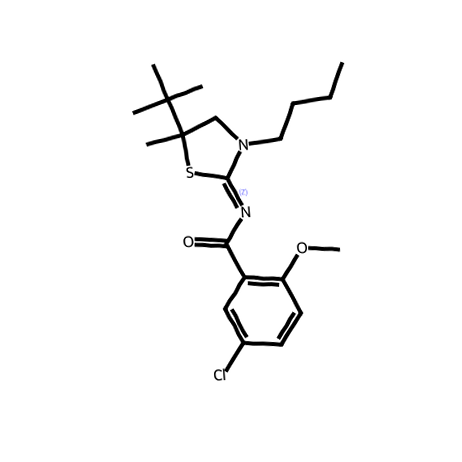 CCCCN1CC(C)(C(C)(C)C)S/C1=N\C(=O)c1cc(Cl)ccc1OC